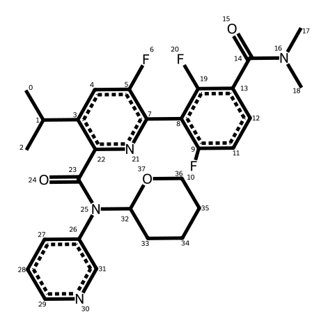 CC(C)c1cc(F)c(-c2c(F)ccc(C(=O)N(C)C)c2F)nc1C(=O)N(c1cccnc1)C1CCCCO1